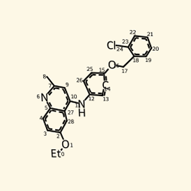 CCOc1ccc2nc(C)cc(Nc3ccc(OCc4ccccc4Cl)cc3)c2c1